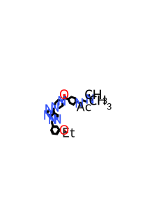 CCOc1cccc(Cn2ncc3c(N4CCN(C(=O)C5CCC(N(CCN(C)C)C(C)=O)CC5)CC4)ncnc32)c1